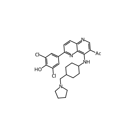 CC(=O)c1cnc2ccc(-c3cc(Cl)c(O)c(Cl)c3)nc2c1NC1CCC(CN2CCCC2)CC1